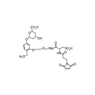 CC(=O)OCc1ccc(OC2CC(O)CC(C(=O)O)O2)cc1OCCOCCNC(=O)C(CS(=O)(=O)O)NC(=O)CCN1C(=O)C=CC1=O